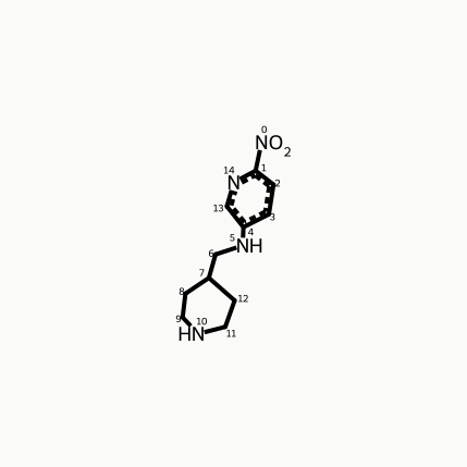 O=[N+]([O-])c1ccc(NCC2CCNCC2)cn1